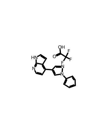 O=C(O)C(F)(F)F.c1ccc(-n2cc(-c3ccnc4[nH]ccc34)cn2)cc1